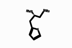 CNC[C@H](Cc1cccs1)NC